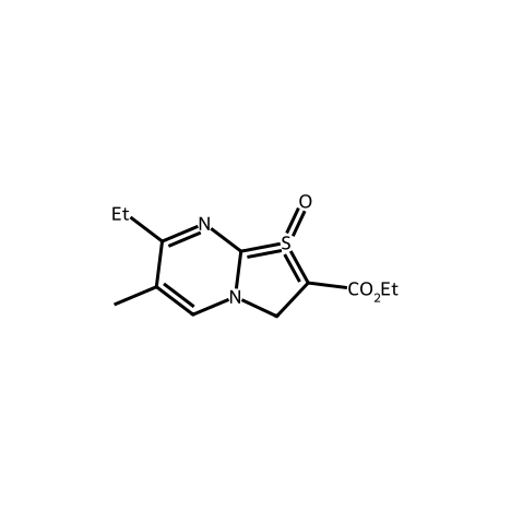 CCOC(=O)C1=S(=O)=C2N=C(CC)C(C)=CN2C1